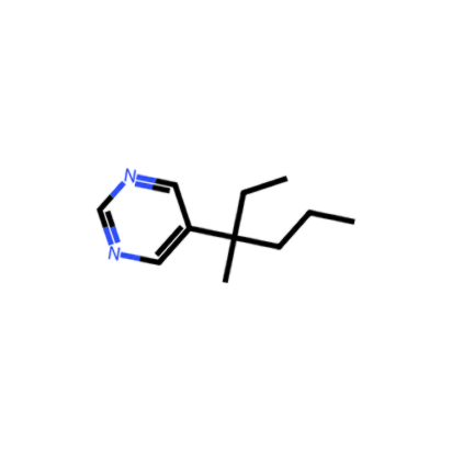 CCCC(C)(CC)c1cncnc1